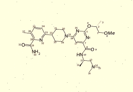 COC[C@@H](C)Oc1nc(C(=O)N[C@H](C)CN(C)C)cc(N2CCC(c3ccc(C)c(C(N)=O)n3)CC2)n1